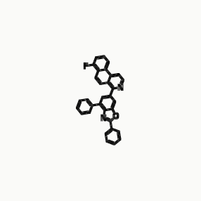 Fc1cccc2c1ccc1c(-c3cc(-c4ccccc4)c4nc(-c5ccccc5)oc4c3)nccc12